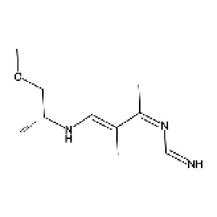 COC[C@@H](C)N/C=C(C)/C(C)=N\C=N